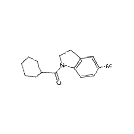 CC(=O)c1ccc2c(c1)CCN2C(=O)C1CCCCC1